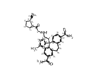 Cc1nnc(C2(CCNCC(=O)N3CCC[C@H]3C#N)c3ccc(C(N)=O)cc3CCc3cc(C(N)=O)ccc32)o1